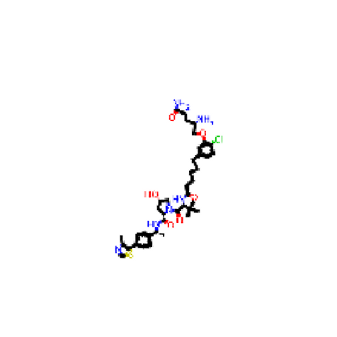 Cc1ncsc1-c1ccc([C@H](C)NC(=O)[C@@H]2C[C@@H](O)CN2C(=O)[C@@H](NC(=O)CCCCCc2ccc(Cl)c(OC[C@@H](N)CCC(N)=O)c2)C(C)(C)C)cc1